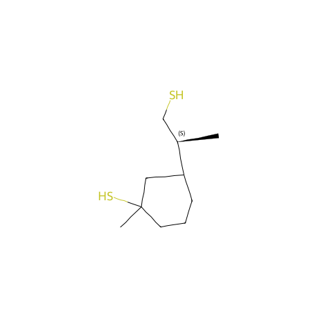 C[C@H](CS)C1CCCC(C)(S)C1